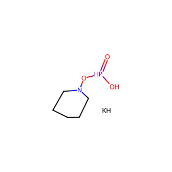 O=[PH](O)ON1CCCCC1.[KH]